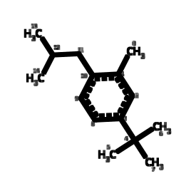 Cc1cc(C(C)(C)C)ccc1CC(C)C